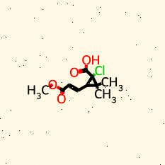 COC(=O)C=CC1C(C)(C)C1(Cl)C(=O)O